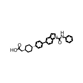 O=C(O)C[C@H]1CC[C@H](c2ccc(-c3ccc4c(ccn4C(=O)Nc4ccccc4)c3)cc2)CC1